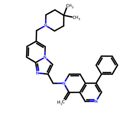 C=C1c2cncc(-c3ccccc3)c2C=CN1Cc1cn2cc(CN3CCC(C)(C)CC3)ccc2n1